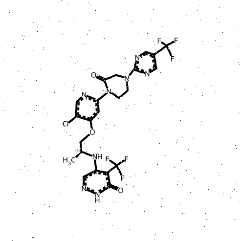 C[C@@H](COc1cc(N2CCN(c3ncc(C(F)(F)F)cn3)CC2=O)ncc1Cl)Nc1cn[nH]c(=O)c1C(F)(F)F